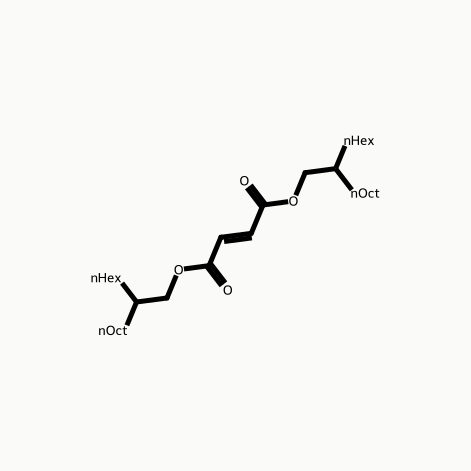 CCCCCCCCC(CCCCCC)COC(=O)/C=C/C(=O)OCC(CCCCCC)CCCCCCCC